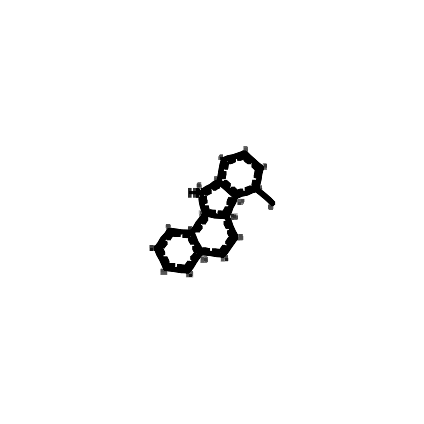 Cc1cccc2[nH]c3c4ccccc4ccc3c12